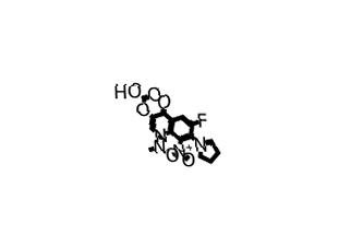 CN(C)n1cc(OC(=O)O)c(=O)c2cc(F)c(N3CCCC3)c([N+](=O)[O-])c21